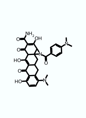 CN(C)c1ccc(C(=O)N2C3C(O)=C(C(N)=O)C(=O)C4C(O)=C5C(=O)c6c(O)ccc(N(C)C)c6CC5CC432)cc1